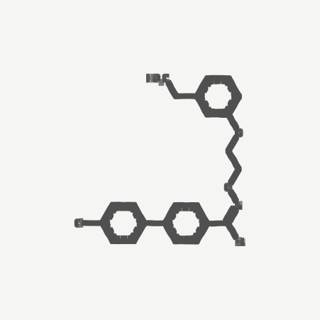 CCC(=NOCCOc1cccc(CC(=O)O)c1)c1ccc(-c2ccc(Cl)cc2)cc1